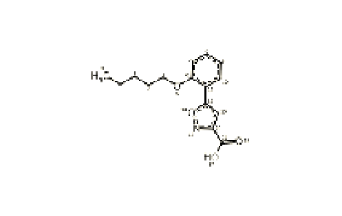 CCCCCOc1ccccc1-c1cc(C(=O)O)no1